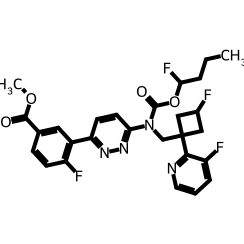 CCCC(F)OC(=O)N(CC1(c2ncccc2F)CC(F)C1)c1ccc(-c2cc(C(=O)OC)ccc2F)nn1